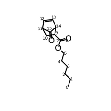 CCCCCCOC(=O)C1CC2C=CC1C2=O